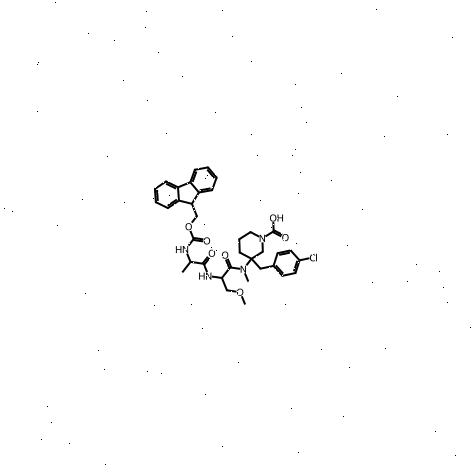 COCC(NC(=O)C(C)NC(=O)OCC1c2ccccc2-c2ccccc21)C(=O)N(C)C1(Cc2ccc(Cl)cc2)CCCN(C(=O)O)C1